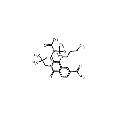 CCCCOc1c(CN(C(=O)O)C(C)(C)C)n(CC(C)(C)C)c(=O)c2ccc(C(N)=O)cc12